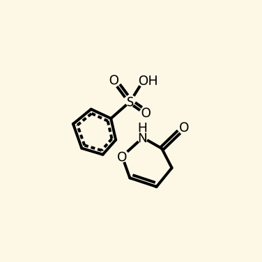 O=C1CC=CON1.O=S(=O)(O)c1ccccc1